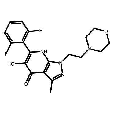 Cc1nn(CCN2CCOCC2)c2[nH]c(-c3c(F)cccc3F)c(O)c(=O)c12